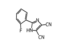 N#Cc1nc(-c2ccccc2F)[nH]c1C#N